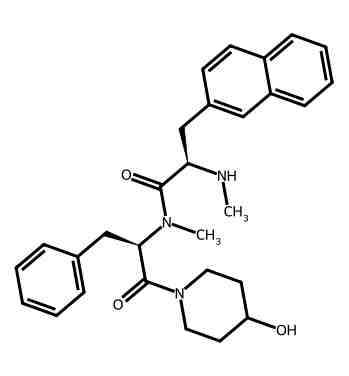 CN[C@H](Cc1ccc2ccccc2c1)C(=O)N(C)[C@H](Cc1ccccc1)C(=O)N1CCC(O)CC1